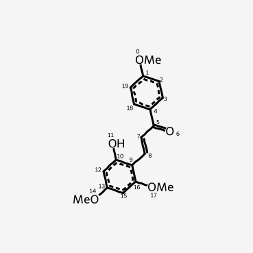 COc1ccc(C(=O)C=Cc2c(O)cc(OC)cc2OC)cc1